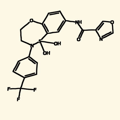 O=C(Nc1ccc2c(c1)S(O)(O)N(c1ccc(C(F)(F)F)cc1)CCO2)c1cocn1